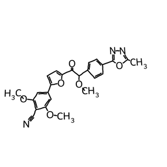 COc1cc(-c2ccc(C(=O)C(OC)c3ccc(-c4nnc(C)o4)cc3)o2)cc(OC)c1C#N